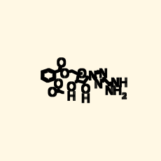 CC(=O)Oc1ccccc1C(=O)OCC1OC(n2cnc(C(=N)N)n2)C(O)C1O